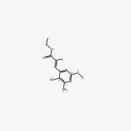 CCOC(=O)/C(C)=C/c1cc(OC)cc(N)c1O